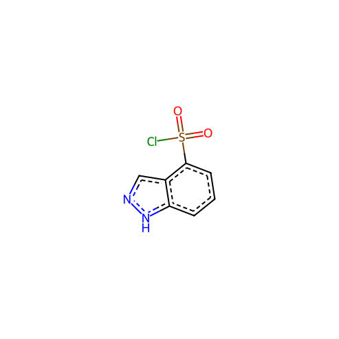 O=S(=O)(Cl)c1cccc2[nH]ncc12